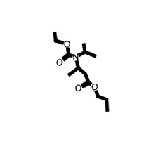 CCCOC(=O)CC(C)N(C(=O)OCC)C(C)C